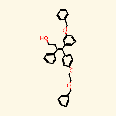 OCCC(=C(c1ccc(OCCOCc2ccccc2)cc1)c1cccc(OCc2ccccc2)c1)c1ccccc1